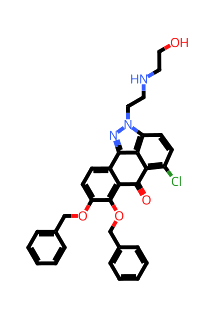 O=C1c2c(ccc(OCc3ccccc3)c2OCc2ccccc2)-c2nn(CCNCCO)c3ccc(Cl)c1c23